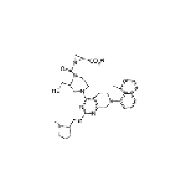 Cc1cccc2cccc(N3CCc4c(nc(OCC5CCCN5C)nc4N4CCN(C(=O)N5CC5C(=O)O)C(CC#N)C4)C3)c12